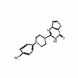 N#Cc1ccc(N2CCN(c3nc4ccsc4c(=O)[nH]3)CC2)cc1